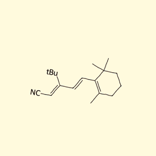 CC1=C(/C=C/C(=C/C#N)C(C)(C)C)C(C)(C)CCC1